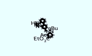 CCCCc1nc2c(n1Cc1ccc(-c3ccccc3-c3nnn[nH]3)cc1)C(C(C)=O)N(C(=O)OCC)CC2